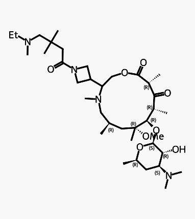 CCN(C)CC(C)(C)CC(=O)N1CC(C2COC(=O)[C@H](C)C(=O)[C@H](C)[C@@H](O[C@@H]3O[C@H](C)C[C@H](N(C)C)[C@H]3O)[C@](C)(OC)C[C@@H](C)CN2C)C1